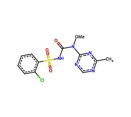 CON(C(=O)NS(=O)(=O)c1ccccc1Cl)c1ncnc(C)n1